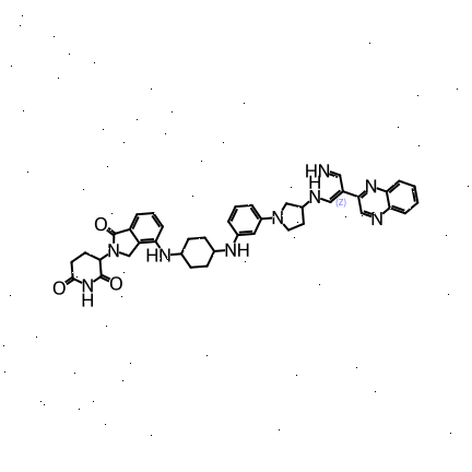 N=C/C(=C\NC1CCN(c2cccc(NC3CCC(Nc4cccc5c4CN(C4CCC(=O)NC4=O)C5=O)CC3)c2)C1)c1cnc2ccccc2n1